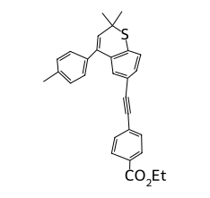 CCOC(=O)c1ccc(C#Cc2ccc3c(c2)C(c2ccc(C)cc2)=CC(C)(C)S3)cc1